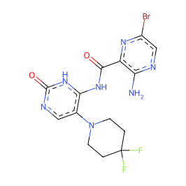 Nc1ncc(Br)nc1C(=O)Nc1[nH]c(=O)ncc1N1CCC(F)(F)CC1